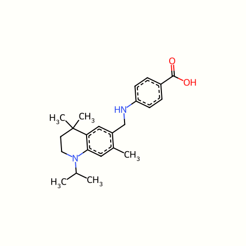 Cc1cc2c(cc1CNc1ccc(C(=O)O)cc1)C(C)(C)CCN2C(C)C